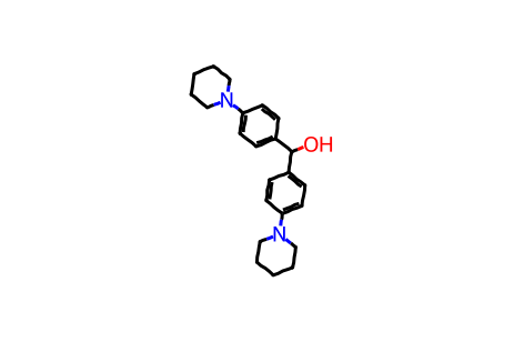 OC(c1ccc(N2CCCCC2)cc1)c1ccc(N2CCCCC2)cc1